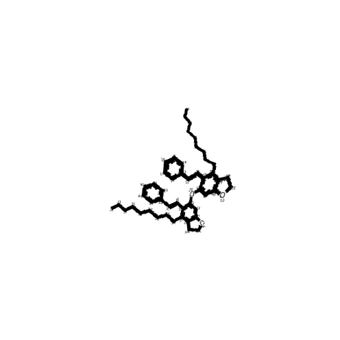 CCCCCCCCCc1c(C=Cc2ccccc2)c(Oc2cc3c(c(CCCCCCCCC)c2C=Cc2ccccc2)CCO3)cc2c1CCO2